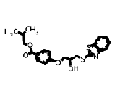 CC(C)COC(=O)c1ccc(OCC(O)CSc2nc3ccccc3s2)cc1